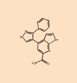 NC(=O)c1cc(-c2c[nH]nc2-c2ccccc2)c2cn[nH]c2n1